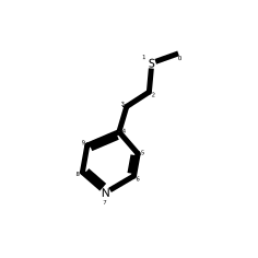 CSC[CH]c1ccncc1